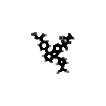 CC1(NS(=O)(=O)c2ccc3c4c(C5CCN(C(=O)OC(C)(C)C)CC5)ncnc4n(-c4nnc(C(F)F)s4)c3c2)CC1